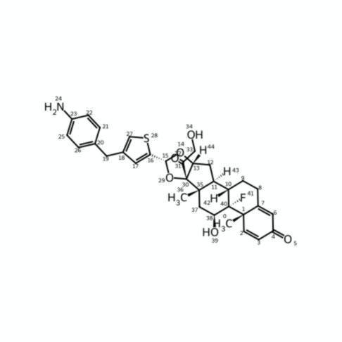 C[C@]12C=CC(=O)C=C1CC[C@H]1[C@@H]3C[C@H]4O[C@@H](c5cc(Cc6ccc(N)cc6)cs5)O[C@@]4(C(=O)CO)[C@@]3(C)C[C@H](O)[C@@]12F